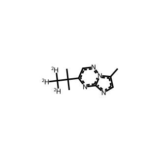 [2H]C([2H])([2H])C(C)(C)c1cnn2c(C)cnc2n1